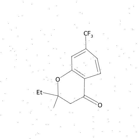 CCC1(C)CC(=O)c2ccc(C(F)(F)F)cc2O1